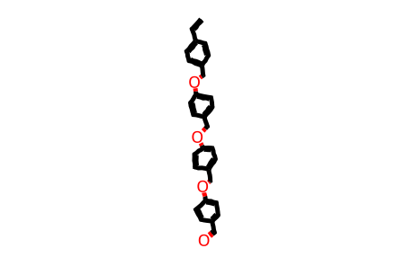 C=Cc1ccc(COc2ccc(COc3ccc(COc4ccc(C=O)cc4)cc3)cc2)cc1